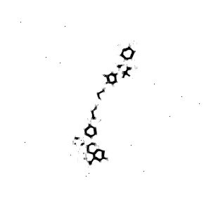 Cn1ncnc1[C@H]1c2n[nH]c(=O)c3cc(F)cc(c23)N[C@@H]1c1ccc(NC(=O)CCOCCCOc2ccc(N3C(=S)N(c4ccc(C#N)c(C(F)(F)F)c4)C(=O)C3(C)C)cc2F)cc1